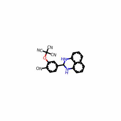 N#CC(C#N)(C#N)Oc1cc(C2Nc3cccc4cccc(c34)N2)ccc1N=O